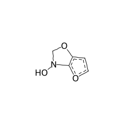 ON1COc2ccoc21